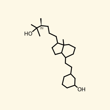 C[C@@H](CCCC1CCC2C(CCC3CCCC(O)C3)CCCC12C)C(C)(C)O